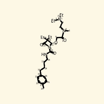 CCN(CC)CCN(C)C(=O)CO[C@@H]1N(C(=O)NCCCCc2ccc(C)cc2)C(=O)C1(CC)CC